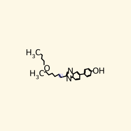 CCCCCOC(C)CCC/C=C/c1cnc2cc(-c3ccc(O)cc3)ccc2n1